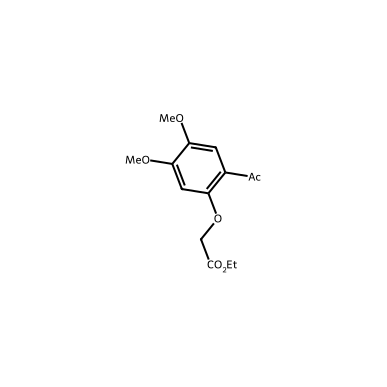 CCOC(=O)COc1cc(OC)c(OC)cc1C(C)=O